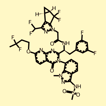 Cn1nc(NS(C)(=O)=O)c2cccc(-n3c([C@H](Cc4cc(F)cc(F)c4)NC(=O)Cn4nc(C(F)F)c5c4C(F)(F)[C@@H]4C[C@H]54)nc4nc(OCCC(C)(F)F)ccc4c3=O)c21